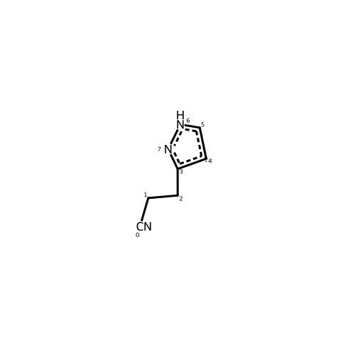 N#CCCc1[c]c[nH]n1